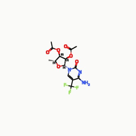 CC(=O)O[C@@H]1[C@H](OC(C)=O)[C@@H](C)O[C@H]1n1cc(C(F)(F)F)c(N)nc1=O